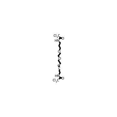 O=C(NCCCOCCOCCOCCCNC(=O)C(Cl)(Cl)Cl)C(Cl)(Cl)Cl